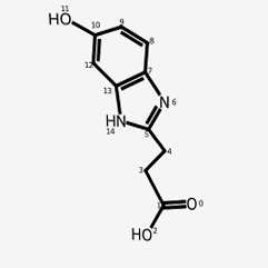 O=C(O)CCc1nc2ccc(O)cc2[nH]1